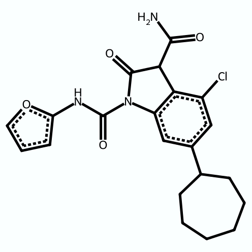 NC(=O)C1C(=O)N(C(=O)Nc2ccco2)c2cc(C3CCCCCC3)cc(Cl)c21